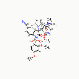 COc1ccc(S(=O)(=O)N2C(=O)C(c3cccnc3OC)(N3CCC[C@H]3C(=O)N(C)C)c3cc(C#N)ccc32)c(OC)c1